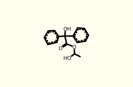 CC(O)OC(=O)C(O)(c1ccccc1)c1ccccc1